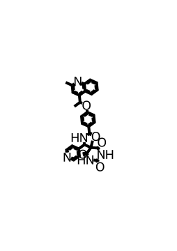 Cc1cc(C(C)Oc2ccc(C(=O)NC(c3ccncc3)C3(C)C(=O)NC(=O)NC3=O)cc2)c2ccccc2n1